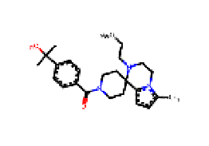 COCCN1CCn2c(C(F)(F)F)ccc2C12CCN(C(=O)c1ccc(C(C)(C)O)cc1)CC2